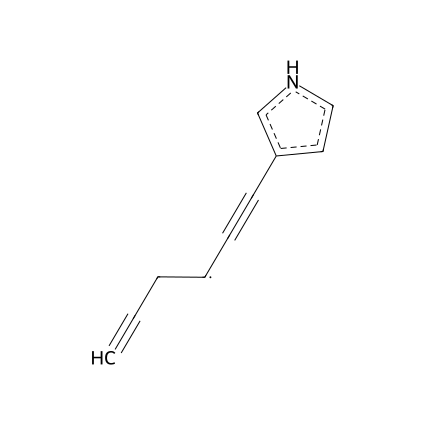 C#CC[CH]C#Cc1cc[nH]c1